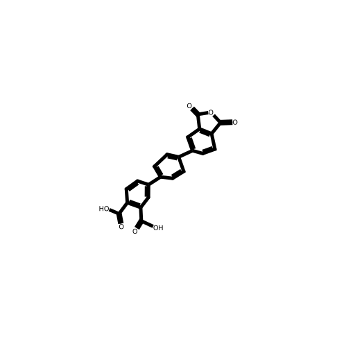 O=C(O)c1ccc(-c2ccc(-c3ccc4c(c3)C(=O)OC4=O)cc2)cc1C(=O)O